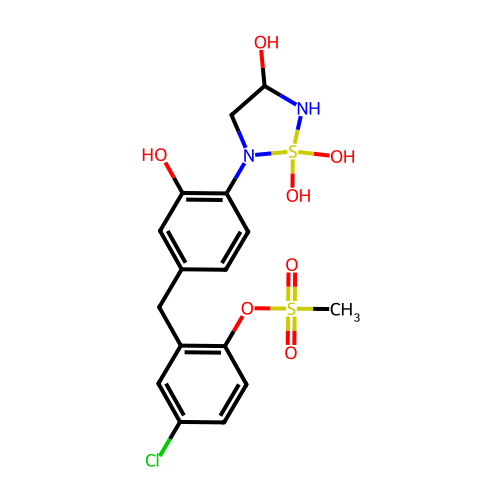 CS(=O)(=O)Oc1ccc(Cl)cc1Cc1ccc(N2CC(O)NS2(O)O)c(O)c1